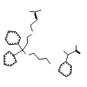 CCCCOC(CCNCC=C(C)C)(c1ccccc1)c1ccccc1.O=C(O)C(O)c1ccccc1